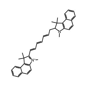 CN1c2ccc3ccccc3c2C(C)(C)C1CC=CC=CC=CC1=[N+](C)c2ccc3ccccc3c2C1(C)C